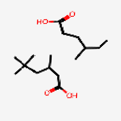 CC(CC(=O)O)CC(C)(C)C.CCC(C)CCC(=O)O